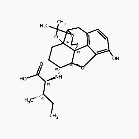 CC[C@H](C)[C@H](N[C@@H]1CC[C@@]2(OC)C3Cc4ccc(O)c5c4[C@@]2(CCN3C)[C@H]1O5)C(=O)O